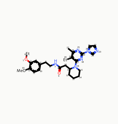 CCOc1cc(CCNC(=O)CC2CCCCN2c2nc(-n3ccnc3)nc(C)c2CC)ccc1OC